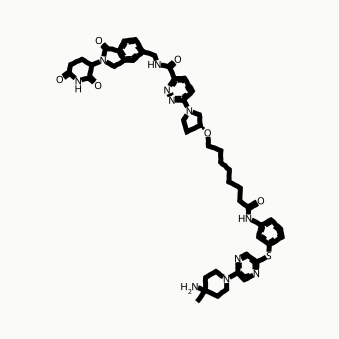 CC1(N)CCN(c2cnc(Sc3cccc(NC(=O)CCCCCCCO[C@H]4CCN(c5ccc(C(=O)NCc6ccc7c(c6)CN(C6CCC(=O)NC6=O)C7=O)nn5)C4)c3)cn2)CC1